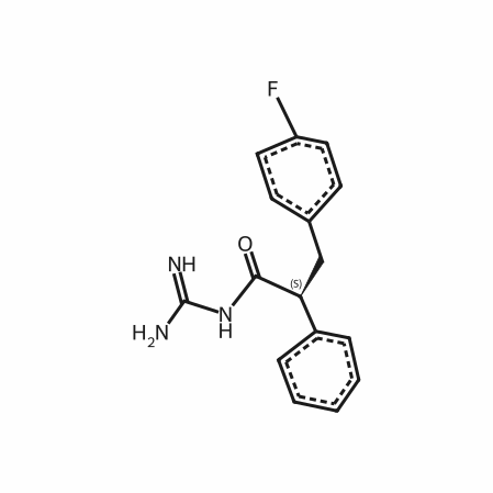 N=C(N)NC(=O)[C@@H](Cc1ccc(F)cc1)c1ccccc1